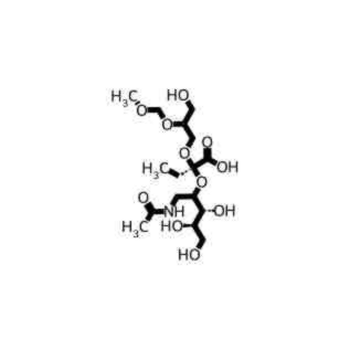 CC[C@@](OCC(CO)OCOC)(OC(CNC(C)=O)[C@H](O)[C@H](O)CO)C(=O)O